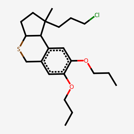 CCCOc1cc2c(cc1OCCC)C1C(CCC1(C)CCCCl)SC2